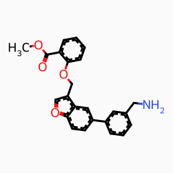 COC(=O)c1ccccc1OCc1coc2ccc(-c3cccc(CN)c3)cc12